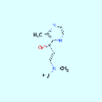 Cc1nccnc1C(=O)C=CN(C)C